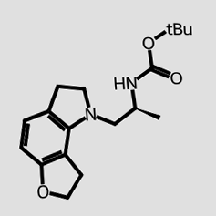 C[C@@H](CN1CCc2ccc3c(c21)CCO3)NC(=O)OC(C)(C)C